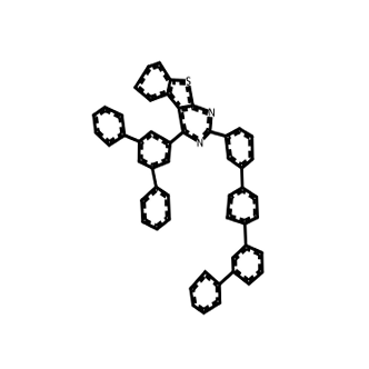 c1ccc(-c2cccc(-c3ccc(-c4cccc(-c5nc(-c6cc(-c7ccccc7)cc(-c7ccccc7)c6)c6c(n5)sc5ccccc56)c4)cc3)c2)cc1